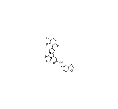 Cn1c(CC(=O)NCc2ccc3c(c2)OCO3)c2n(c1=S)CC(c1c(F)ccc(Cl)c1F)C2